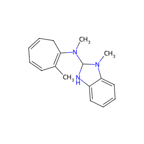 CC1=C(N(C)C2Nc3ccccc3N2C)CC=CC=C1